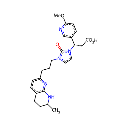 COc1ccc([C@H](CC(=O)O)n2ccn(CCCc3ccc4c(n3)NC(C)CC4)c2=O)cn1